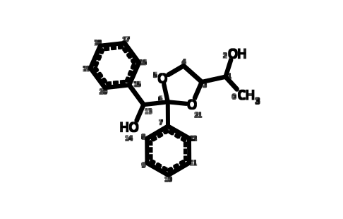 CC(O)C1COC(c2ccccc2)(C(O)c2ccccc2)O1